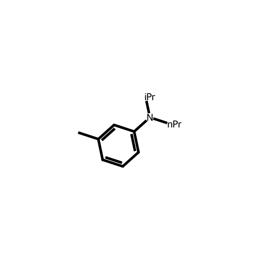 CCCN(c1cccc(C)c1)C(C)C